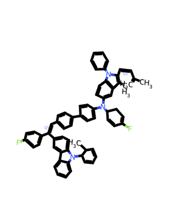 C=C(C)/C=C\c1c(C)c2cc(N(c3ccc(-c4ccc(/C=C(/c5ccc(F)cc5)c5ccc6c(c5)c5ccccc5n6C5C=CC=CC5C)cc4)cc3)C3C=CC(F)=CC3)ccc2n1-c1ccccc1